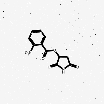 O=C1CC(OC(=O)c2ccccc2[N+](=O)[O-])C(=O)N1